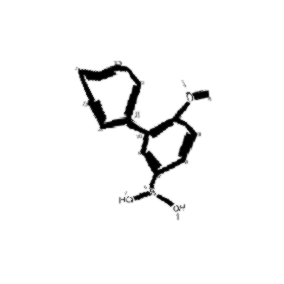 COc1ccc(B(O)O)cc1-c1ccccc1